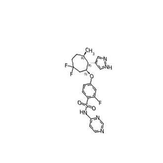 C[C@@H]1CCC(F)(F)C[C@H](Oc2ccc(S(=O)(=O)Nc3ccncn3)c(F)c2)[C@H]1c1cn[nH]c1